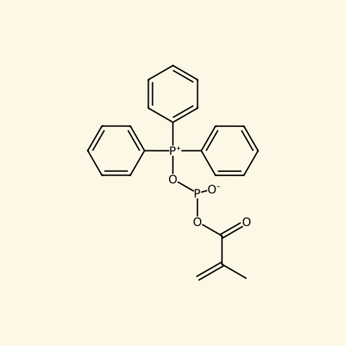 C=C(C)C(=O)OP([O-])O[P+](c1ccccc1)(c1ccccc1)c1ccccc1